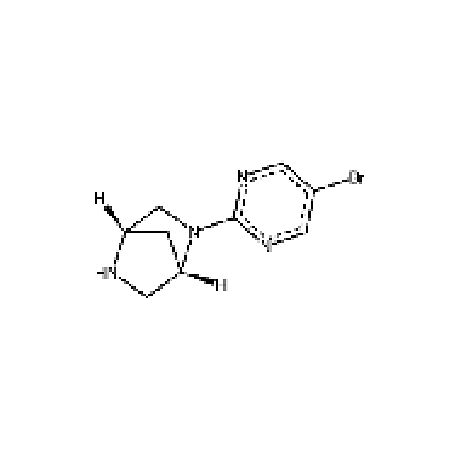 Brc1cnc(N2C[C@@H]3C[C@H]2CN3)nc1